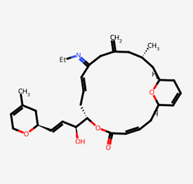 C=C1CC(=N/CC)/C=C/C[C@@H]([C@@H](O)/C=C/[C@@H]2CC(C)=CCO2)OC(=O)/C=C\C[C@@H]2C=CC[C@@H](C[C@@H](C)C1)O2